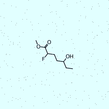 CCC(O)CCC(F)C(=O)OC